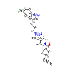 COc1ccc(C(=O)N2CCC(CNCCCc3c[nH]c4ccc(F)cc34)CC2)cc1